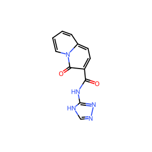 O=C(Nc1nnc[nH]1)c1ccc2ccccn2c1=O